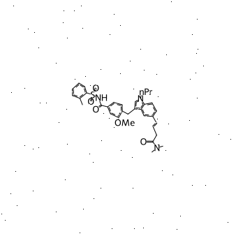 CCCn1cc(Cc2ccc(C(=O)NS(=O)(=O)c3ccccc3C)cc2OC)c2cc(C=CCC(=O)N(C)C)ccc21